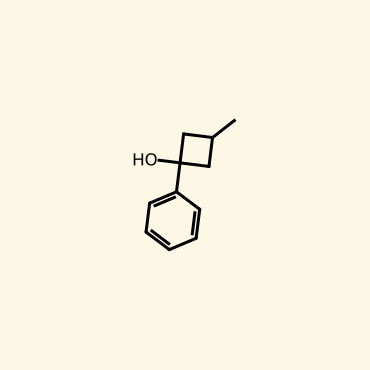 CC1CC(O)(c2ccccc2)C1